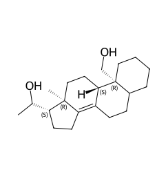 CC(O)[C@H]1CCC2=C3CCC4CCCC[C@]4(CO)[C@H]3CC[C@@]21C